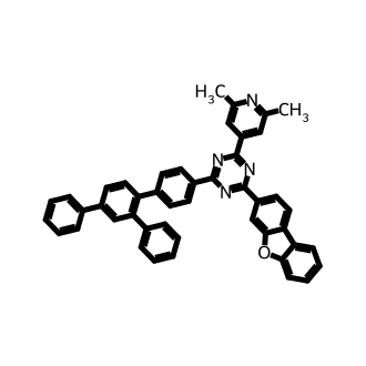 Cc1cc(-c2nc(-c3ccc(-c4ccc(-c5ccccc5)cc4-c4ccccc4)cc3)nc(-c3ccc4c(c3)oc3ccccc34)n2)cc(C)n1